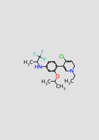 CCN1C=C(c2ccc(NC(C)C(F)(F)F)cc2OC(C)C)C(Cl)=CC1